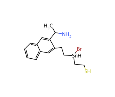 CC(N)c1cc2ccccc2cc1C[CH2][SnH]([Br])[CH2]CS